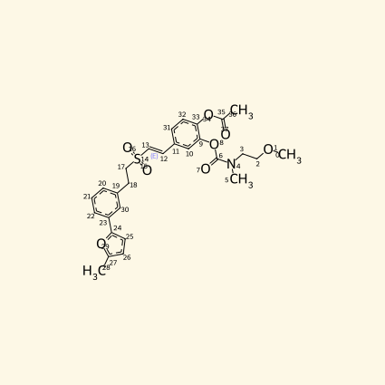 COCCN(C)C(=O)Oc1cc(/C=C/S(=O)(=O)CCc2cccc(-c3ccc(C)o3)c2)ccc1OC(C)=O